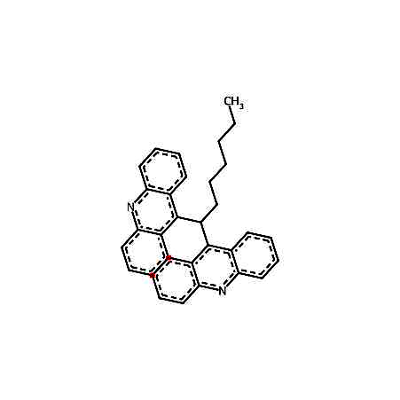 CCCCCCC(c1c2ccccc2nc2ccccc12)c1c2ccccc2nc2ccccc12